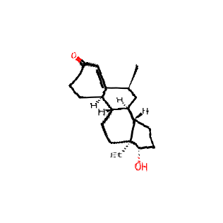 CC[C@]12CC[C@H]3[C@@H](C[C@H](C)C4=CC(=O)CC[C@@H]43)[C@@H]1CC[C@@H]2O